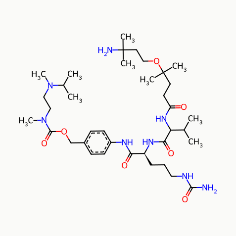 CC(C)C(NC(=O)CCC(C)(C)OCCC(C)(C)N)C(=O)N[C@@H](CCCNC(N)=O)C(=O)Nc1ccc(COC(=O)N(C)CCN(C)C(C)C)cc1